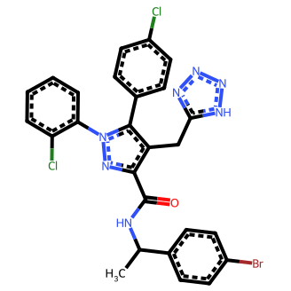 CC(NC(=O)c1nn(-c2ccccc2Cl)c(-c2ccc(Cl)cc2)c1Cc1nnn[nH]1)c1ccc(Br)cc1